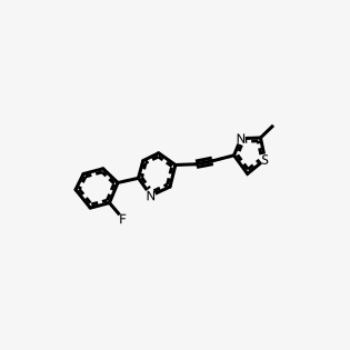 Cc1nc(C#Cc2ccc(-c3ccccc3F)nc2)cs1